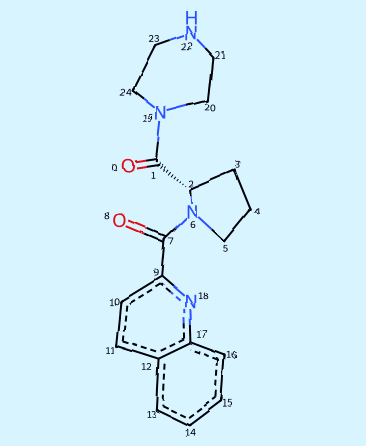 O=C([C@@H]1CCCN1C(=O)c1ccc2ccccc2n1)N1CCNCC1